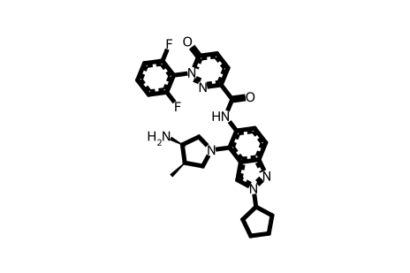 C[C@@H]1CN(c2c(NC(=O)c3ccc(=O)n(-c4c(F)cccc4F)n3)ccc3nn(C4CCCC4)cc23)C[C@@H]1N